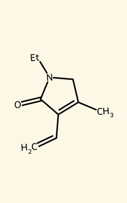 C=CC1=C(C)CN(CC)C1=O